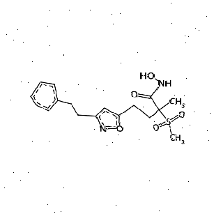 CC(CCc1cc(CCc2ccccc2)no1)(C(=O)NO)S(C)(=O)=O